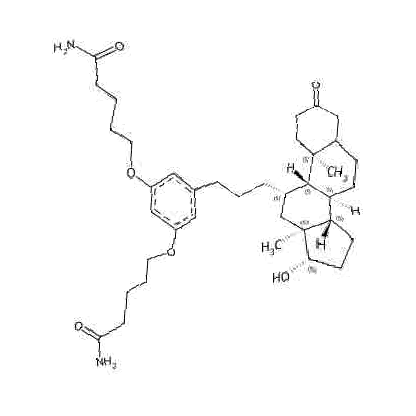 C[C@]12C[C@H](CCCc3cc(OCCCCC(N)=O)cc(OCCCCC(N)=O)c3)[C@H]3[C@@H](CCC4CC(=O)CC[C@@]43C)[C@@H]1CC[C@@H]2O